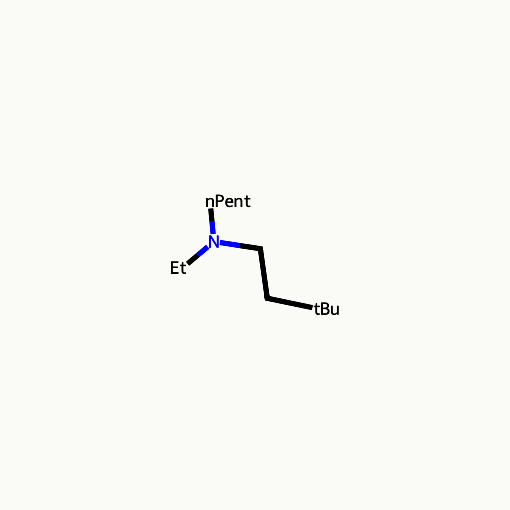 CCCCCN(CC)CCC(C)(C)C